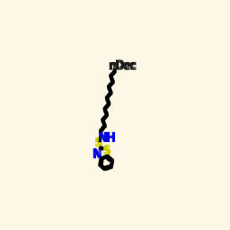 CCCCCCCCCCCCCCCCCCCCCCNSc1nc2ccccc2s1